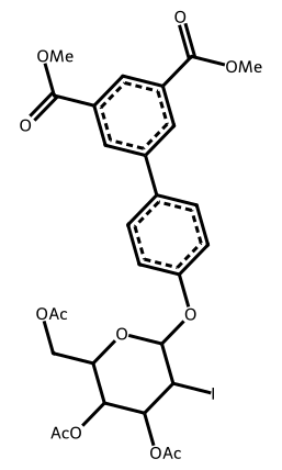 COC(=O)c1cc(C(=O)OC)cc(-c2ccc(OC3OC(COC(C)=O)C(OC(C)=O)C(OC(C)=O)C3I)cc2)c1